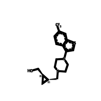 OC[C@@H]1C[C@H]1CN1CCN(c2csc3cc(C(F)(F)F)ccc23)CC1